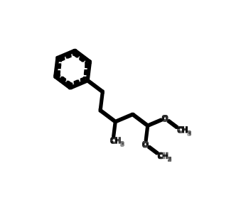 COC(CC(C)CCc1ccccc1)OC